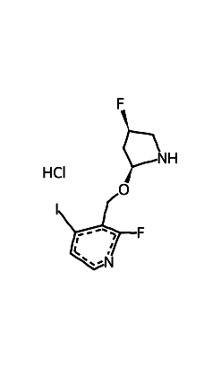 Cl.Fc1nccc(I)c1CO[C@H]1C[C@@H](F)CN1